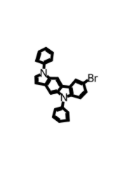 Brc1ccc2c(c1)c1cc3c(ccn3-c3ccccc3)cc1n2-c1ccccc1